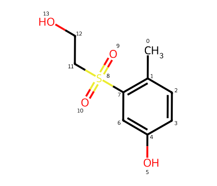 Cc1ccc(O)cc1S(=O)(=O)CCO